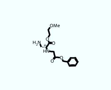 COCCOC(=O)[C@@H](CN)NCC(=O)OCc1ccccc1